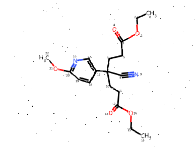 CCOC(=O)CCC(C#N)(CCC(=O)OCC)c1ccc(OC)nc1